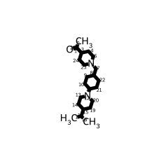 CC(=O)C1CCN(CC2CCC(N3CCC(C(C)C)CC3)CC2)CC1